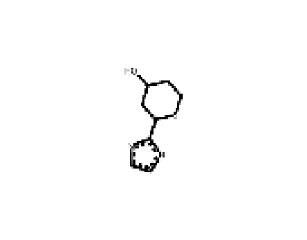 OC1CCSC(c2nccs2)C1